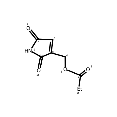 CCC(=O)OCC1=CC(=O)NC1=O